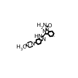 CN1CCN(c2ccc3nc(-c4nn(C(N)=O)c5cc[c]cc45)[nH]c3c2)CC1